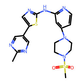 Cc1ncc(-c2cnc(Nc3cc(N4CCN(S(C)(=O)=O)CC4)ccn3)s2)cn1